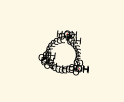 O=C(O)C1(P(=O)(O)O)CCCCCCCCC(C(=O)O)(P(=O)(O)O)CCCCCCCCC(C(=O)O)(P(=O)(O)O)CCCCCCCC1